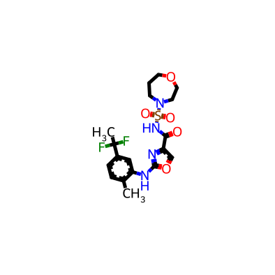 Cc1ccc(C(C)(F)F)cc1Nc1nc(C(=O)NS(=O)(=O)N2CCCOCC2)co1